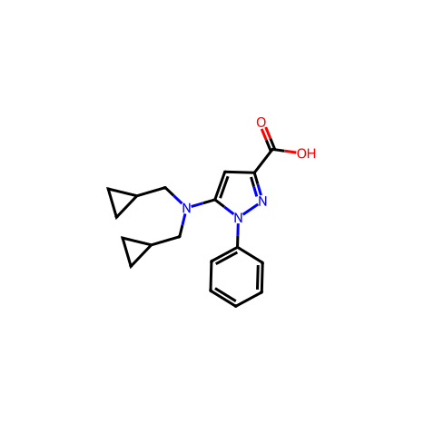 O=C(O)c1cc(N(CC2CC2)CC2CC2)n(-c2ccccc2)n1